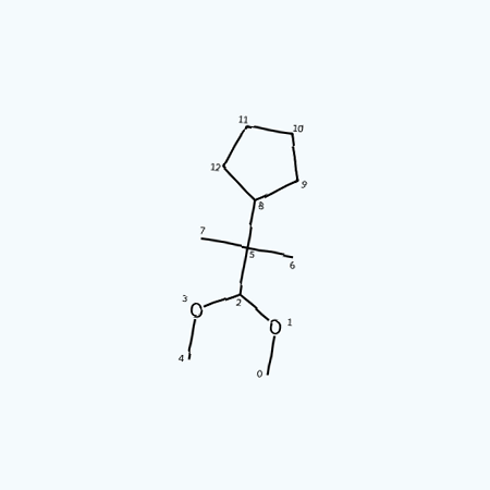 COC(OC)C(C)(C)C1CCCC1